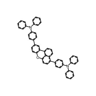 c1ccc(N(c2ccccc2)c2ccc(-c3ccc4c(c3)-c3cccc5c(-c6ccc(N(c7ccccc7)c7ccccc7)cc6)ccc(c35)O4)cc2)cc1